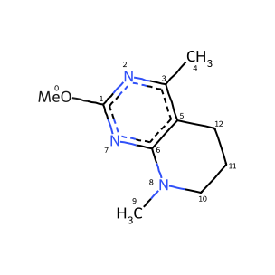 COc1nc(C)c2c(n1)N(C)CCC2